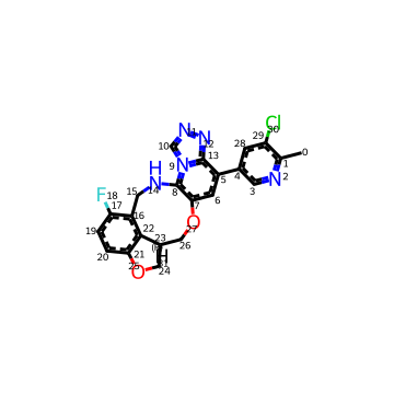 Cc1ncc(-c2cc3c(n4cnnc24)NCc2c(F)ccc4c2[C@H](CO4)CO3)cc1Cl